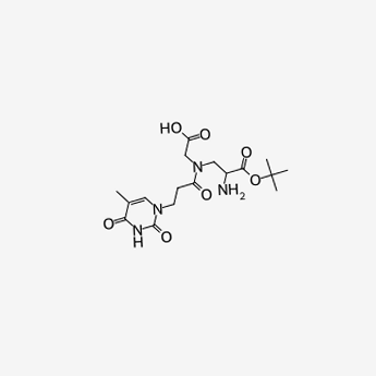 Cc1cn(CCC(=O)N(CC(=O)O)CC(N)C(=O)OC(C)(C)C)c(=O)[nH]c1=O